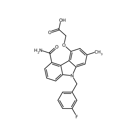 Cc1cc(OCC(=O)O)c2c3c(C(N)=O)cccc3n(Cc3cccc(F)c3)c2c1